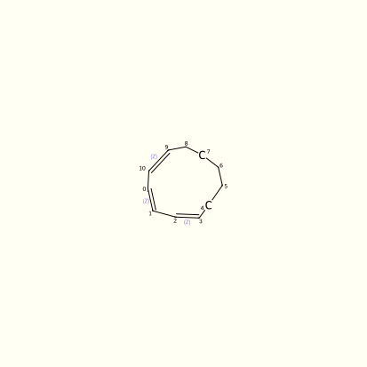 [C]1=C\C=C/CCCCC\C=C/1